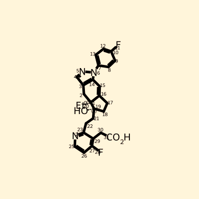 CC[C@]12Cc3cnn(-c4ccc(F)cc4)c3C=C1CC[C@@]2(O)CCc1nccc(F)c1CC(=O)O